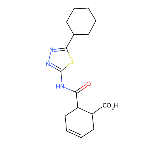 O=C(O)C1CC=CCC1C(=O)Nc1nnc(C2CCCCC2)s1